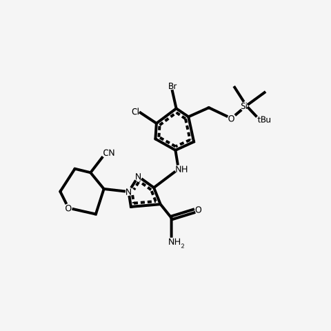 CC(C)(C)[Si](C)(C)OCc1cc(Nc2nn(C3COCCC3C#N)cc2C(N)=O)cc(Cl)c1Br